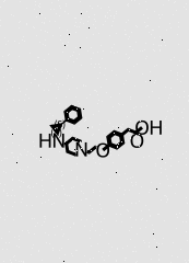 O=C(O)Cc1ccc(OCCN2CCC(N[C@@H]3C[C@H]3c3ccccc3)CC2)cc1